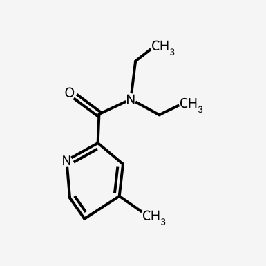 CCN(CC)C(=O)c1cc(C)ccn1